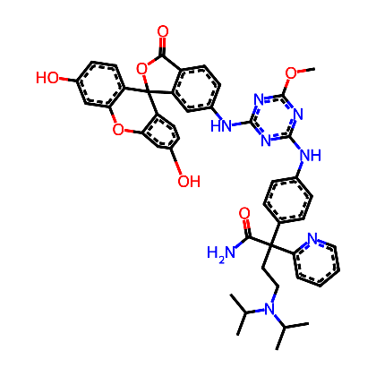 COc1nc(Nc2ccc(C(CCN(C(C)C)C(C)C)(C(N)=O)c3ccccn3)cc2)nc(Nc2ccc3c(c2)C2(OC3=O)c3ccc(O)cc3Oc3cc(O)ccc32)n1